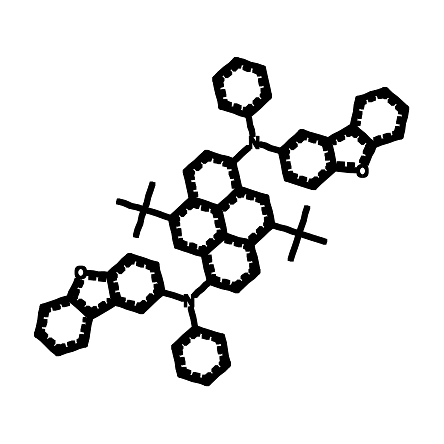 CC(C)(C)c1cc2c(N(c3ccccc3)c3ccc4oc5ccccc5c4c3)ccc3c(C(C)(C)C)cc4c(N(c5ccccc5)c5ccc6oc7ccccc7c6c5)ccc1c4c23